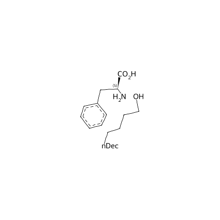 CCCCCCCCCCCCCCO.N[C@@H](Cc1ccccc1)C(=O)O